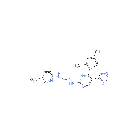 Cc1ccc(-c2nc(NCCNc3ccc([N+](=O)[O-])cn3)ncc2-c2cnc[nH]2)c(C)c1